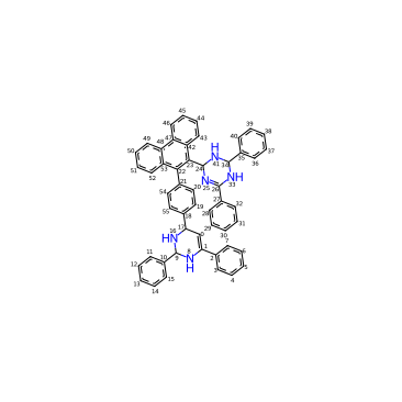 C1=C(c2ccccc2)NC(c2ccccc2)NC1c1ccc(-c2c(C3N=C(c4ccccc4)NC(c4ccccc4)N3)c3ccccc3c3ccccc23)cc1